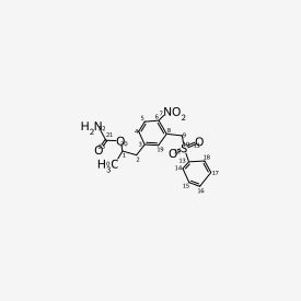 CC(Cc1ccc([N+](=O)[O-])c(CS(=O)(=O)c2ccccc2)c1)OC(N)=O